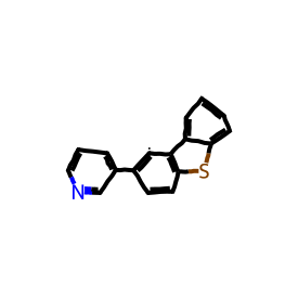 [c]1c(-c2cccnc2)ccc2sc3ccccc3c12